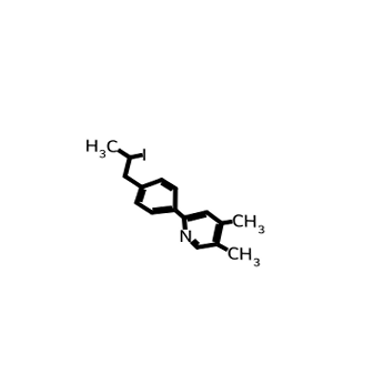 Cc1cnc(-c2ccc(CC(C)I)cc2)cc1C